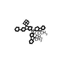 CC1(C)c2ccccc2-c2ccc(N(c3ccc4c(c3)-c3ccc(-c5ccccc5)cc3C43C4CC5CC6CC3C564)c3ccc4c(c3)C(C)(C)c3ccccc3-4)cc21